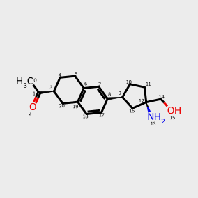 CC(=O)[C@H]1CCc2cc([C@H]3CC[C@](N)(CO)C3)ccc2C1